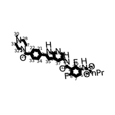 CCCS(=O)(=O)Nc1ccc(F)c(C(=O)Nc2cnc3[nH]c(-c4ccc(C(=O)N5CCN(C)CC5)cc4)cc3c2)c1F